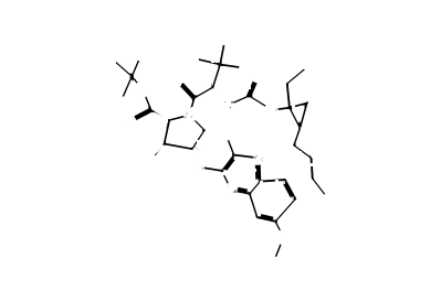 CCCCC1CC1(CC)OC(=O)N[C@H](C(=O)N1C[C@H](Oc2nc3cc(OC)ccc3nc2Cl)[C@@H](C)[C@H]1C(=O)OC(C)(C)C)C(C)(C)C